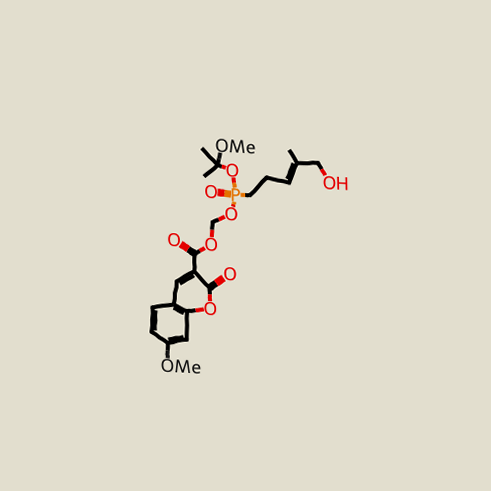 COc1ccc2cc(C(=O)OCOP(=O)(CC/C=C(\C)CO)OC(C)(C)OC)c(=O)oc2c1